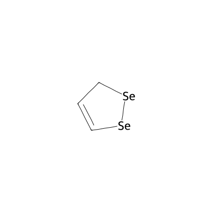 C1=C[Se][Se]C1